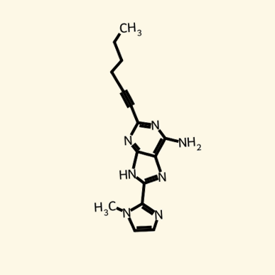 CCCCC#Cc1nc(N)c2nc(-c3nccn3C)[nH]c2n1